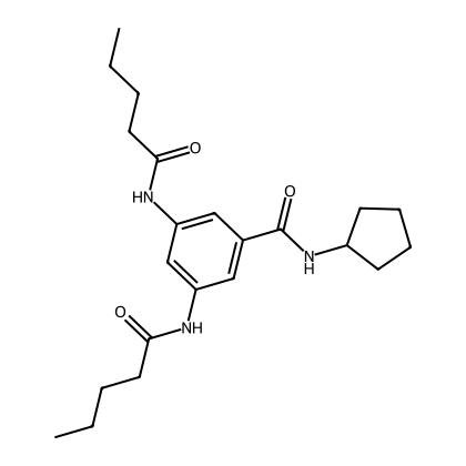 CCCCC(=O)Nc1cc(NC(=O)CCCC)cc(C(=O)NC2CCCC2)c1